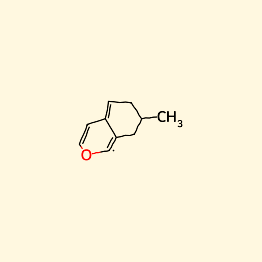 CC1CC=C2C=CO[C]=C2C1